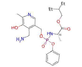 CCC(CC)COC(=O)[C@H](C)NP(=O)(OCc1cnc(C)c(O)c1CN)Oc1ccccc1